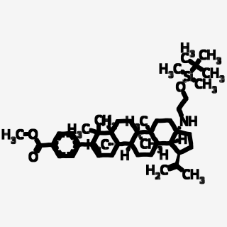 C=C(C)[C@@H]1CC[C@]2(NCCO[Si](C)(C)C(C)(C)C)CC[C@]3(C)[C@H](CC[C@@H]4[C@@]5(C)CC=C(c6ccc(C(=O)OC)cc6)C(C)(C)[C@@H]5CC[C@]43C)[C@@H]12